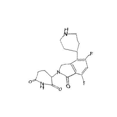 O=C1CCC(N2Cc3c(c(F)cc(F)c3C3CCNCC3)C2=O)C(=O)N1